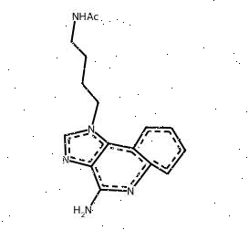 CC(=O)NCCCCn1cnc2c(N)nc3ccccc3c21